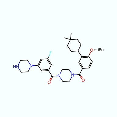 CC[C@@H](C)Oc1ccc(C(=O)N2CCN(C(=O)c3cc(F)cc(N4CCNCC4)c3)CC2)cc1C1CCC(C)(C)CC1